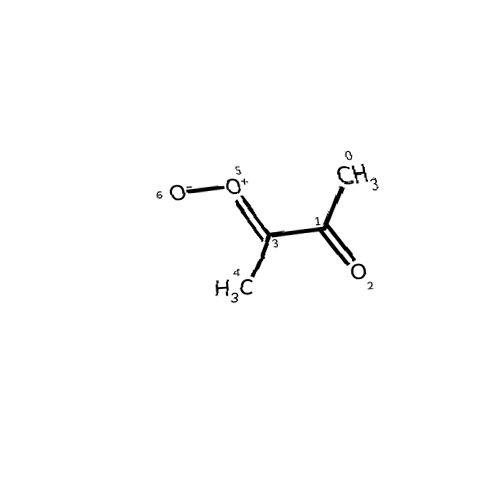 CC(=O)C(C)=[O+][O-]